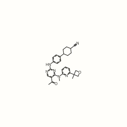 CC(=O)c1cnc(Nc2ccc(C3CCC(C#N)CC3)cc2)nc1N(C)c1cccc(C2(C)COC2)n1